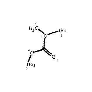 CN(C(=O)OC(C)(C)C)C(C)(C)C